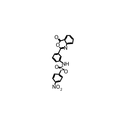 O=c1oc(-c2cccc(NS(=O)(=O)c3ccc([N+](=O)[O-])cc3)c2)nc2ccccc12